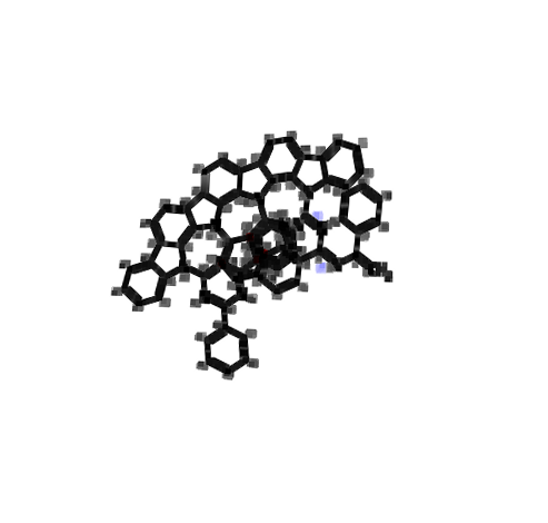 C=C(/N=C(\N=C(/N)n1c2ccccc2c2ccc3c4ccc5c6ccc7c8ccccc8n(-c8nc(-c9ccccc9)nc(-c9ccccc9)n8)c7c6n(-c6ccccc6)c5c4n(-c4ccccc4)c3c21)c1ccccc1)c1ccccc1